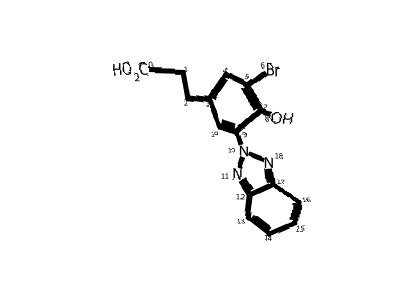 O=C(O)CCc1cc(Br)c(O)c(-n2nc3ccccc3n2)c1